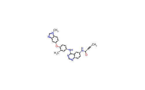 CC#CC(=O)Nc1ccc2ncnc(Nc3ccc(Oc4ccc5c(c4)ncn5C)c(C)c3)c2c1